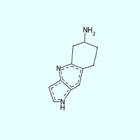 NC1CCc2cc3[nH]ccc3nc2C1